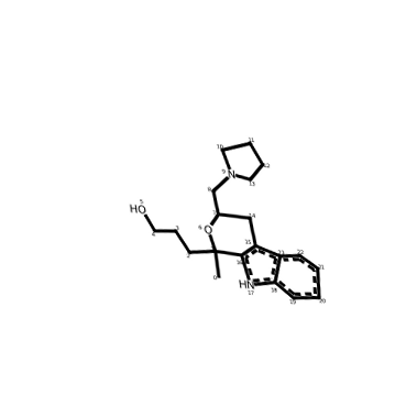 CC1(CCCO)OC(CN2CCCC2)Cc2c1[nH]c1ccccc21